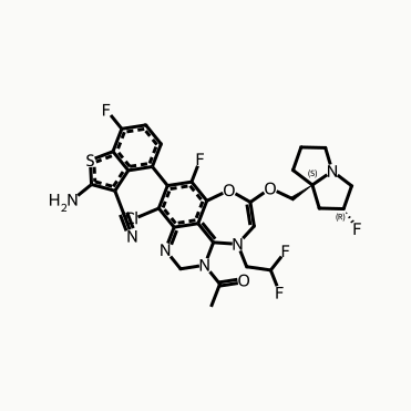 CC(=O)N1CN=c2c(Cl)c(-c3ccc(F)c4sc(N)c(C#N)c34)c(F)c3c2=C1N(CC(F)F)C=C(OC[C@@]12CCCN1C[C@H](F)C2)O3